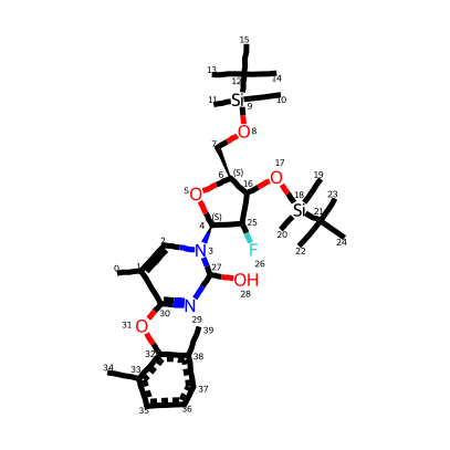 CC1=CN([C@H]2O[C@@H](CO[Si](C)(C)C(C)(C)C)C(O[Si](C)(C)C(C)(C)C)C2F)C(O)N=C1Oc1c(C)cccc1C